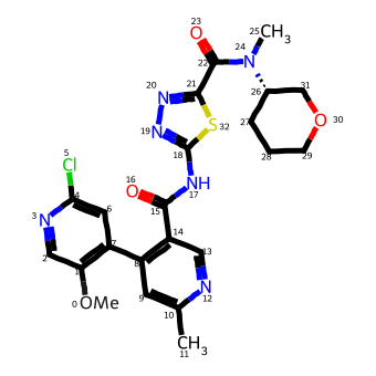 COc1cnc(Cl)cc1-c1cc(C)ncc1C(=O)Nc1nnc(C(=O)N(C)[C@H]2CCCOC2)s1